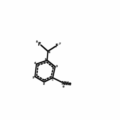 CNc1cccc(C(F)F)c1